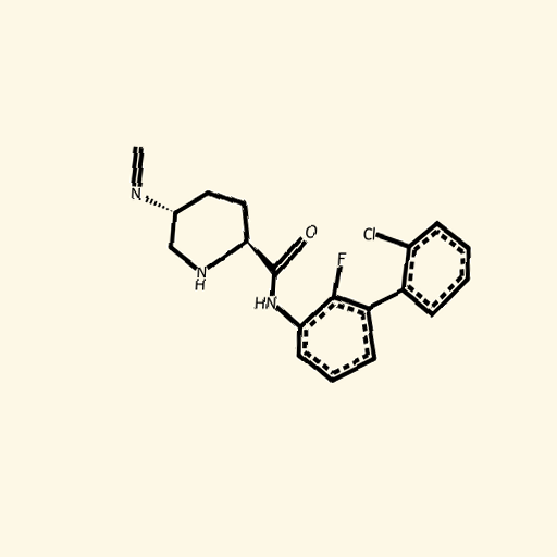 C=N[C@@H]1CC[C@@H](C(=O)Nc2cccc(-c3ccccc3Cl)c2F)NC1